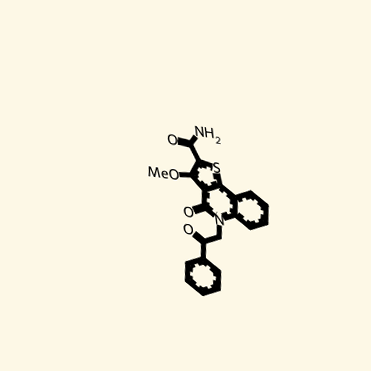 COc1c(C(N)=O)sc2c1c(=O)n(CC(=O)c1ccccc1)c1ccccc21